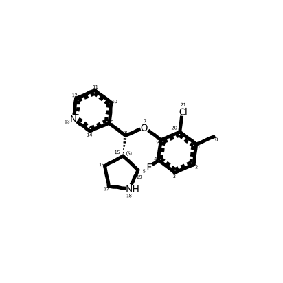 Cc1ccc(F)c(OC(c2cccnc2)[C@H]2CCNC2)c1Cl